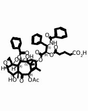 CC(=O)O[C@H]1C(=O)[C@@]2(C)[C@H]([C@H](OC(=O)c3ccccc3)[C@]3(O)C[C@H](OC(=O)[C@H](OC(=O)CCCC(=O)O)[C@@H](NC(=O)c4ccccc4)c4ccccc4)C(C)=C1C3(C)C)[C@]1(OC(C)=O)CO[C@@H]1C[C@@H]2O